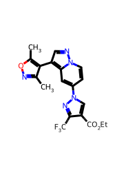 CCOC(=O)c1cn(-c2ccn3ncc(-c4c(C)noc4C)c3c2)nc1C(F)(F)F